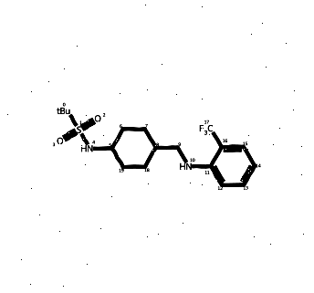 CC(C)(C)S(=O)(=O)NC1CCC(CNc2ccccc2C(F)(F)F)CC1